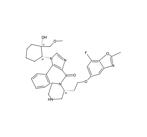 COC[C@]1(O)CCCC[C@H]1n1cnc(C(=O)N2CCNC[C@H]2CCOc2cc(F)c3oc(C)nc3c2)c1-c1ccccc1